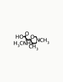 CN[C@@H](C(=O)O)[C@@H]1OCN(C)C[C@H]1C